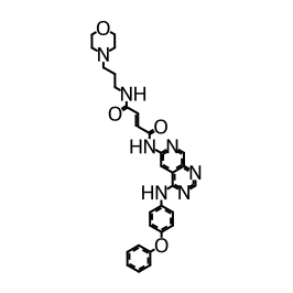 O=C(C=CC(=O)Nc1cc2c(Nc3ccc(Oc4ccccc4)cc3)ncnc2cn1)NCCCN1CCOCC1